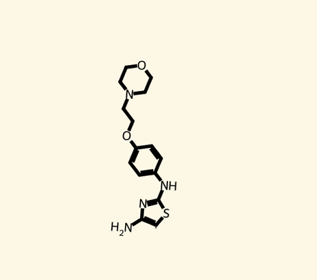 Nc1[c]sc(Nc2ccc(OCCN3CCOCC3)cc2)n1